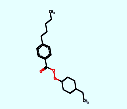 CCCCCc1ccc(C(=O)OO[C]2CCC(CC)CC2)cc1